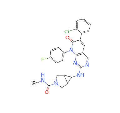 CC(C)NC(=O)N1CC2C(C1)C2Nc1ncc2cc(-c3ccccc3Cl)c(=O)n(-c3ccc(F)cc3)c2n1